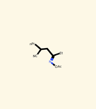 CCCC(C#N)CC(CC)=NOC(C)=O